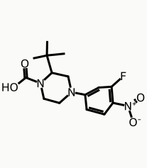 CC(C)(C)C1CN(c2ccc([N+](=O)[O-])c(F)c2)CCN1C(=O)O